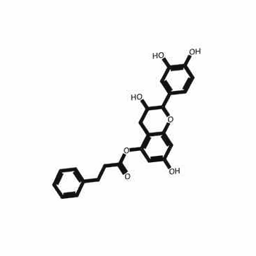 O=C(CCc1ccccc1)Oc1cc(O)cc2c1CC(O)C(c1ccc(O)c(O)c1)O2